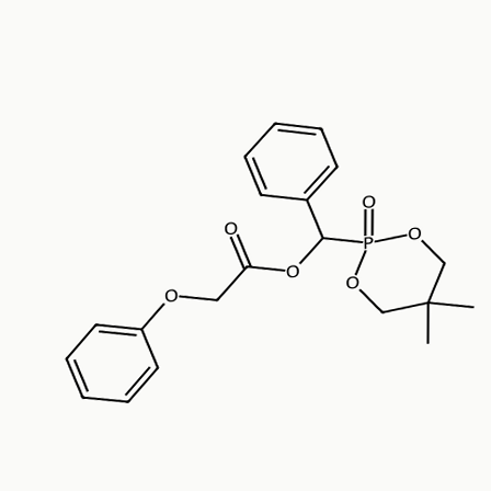 CC1(C)COP(=O)(C(OC(=O)COc2ccccc2)c2ccccc2)OC1